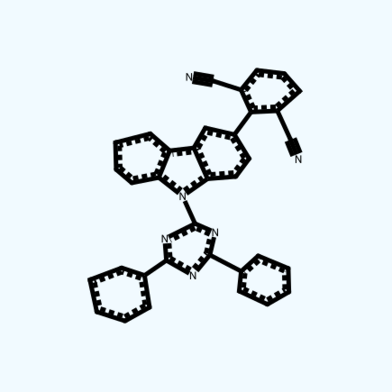 N#Cc1cccc(C#N)c1-c1ccc2c(c1)c1ccccc1n2-c1nc(-c2ccccc2)nc(-c2ccccc2)n1